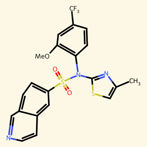 COc1cc(C(F)(F)F)ccc1N(c1nc(C)cs1)S(=O)(=O)c1ccc2cnccc2c1